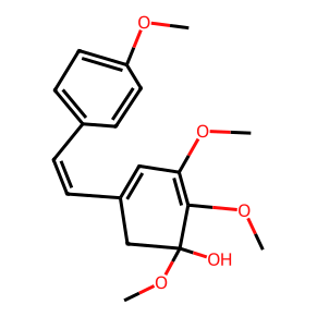 COC1=C(OC)C(O)(OC)CC(/C=C\c2ccc(OC)cc2)=C1